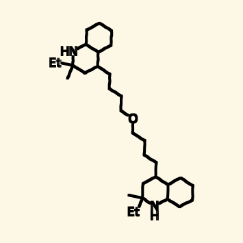 CCC1(C)CC(CCCCOCCCCC2CC(C)(CC)NC3CCCCC23)C2CCCCC2N1